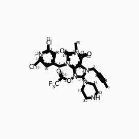 CC#CCN1c2c(n(Cc3cc(Cl)nc(Cl)c3)c(=O)n(C)c2=O)N(OC(=O)C(F)(F)F)C1N1CCNCC1